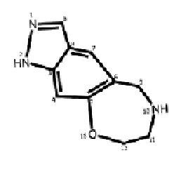 c1n[nH]c2cc3c(cc12)CNCCO3